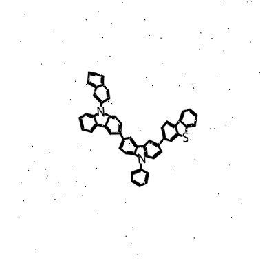 c1ccc(-n2c3ccc(-c4ccc5c(c4)sc4ccccc45)cc3c3cc(-c4ccc5c(c4)c4ccccc4n5-c4ccc5ccccc5c4)ccc32)cc1